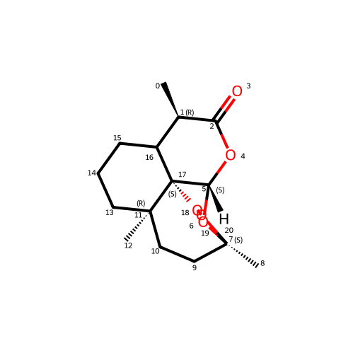 C[C@H]1C(=O)O[C@@H]2O[C@]3(C)CC[C@@]4(C)CCCC1[C@@]24OO3